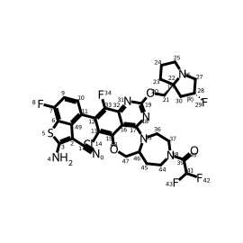 N#Cc1c(N)sc2c(F)ccc(-c3c(Cl)c4c5c(nc(OC[C@@]67CCCN6C[C@H](F)C7)nc5c3F)N3CCN(C(=O)C(F)F)CCC3CO4)c12